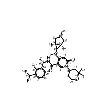 C[C@@H](NC(=O)c1cn(C2CCOC(C)(C)C2)c(=O)cc1NC1[C@H]2CN(C)C[C@@H]12)c1cccc(C(F)F)c1F